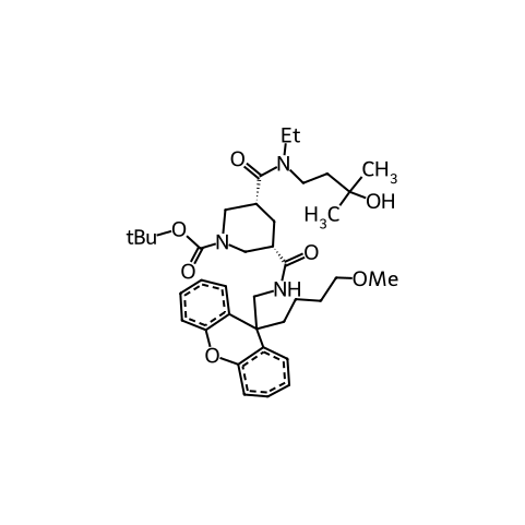 CCN(CCC(C)(C)O)C(=O)[C@@H]1C[C@H](C(=O)NCC2(CCCCOC)c3ccccc3Oc3ccccc32)CN(C(=O)OC(C)(C)C)C1